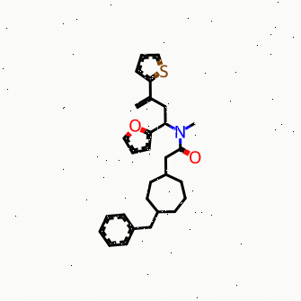 C=C(CC(c1ccco1)N(C)C(=O)CC1CCCC(Cc2ccccc2)CC1)c1cccs1